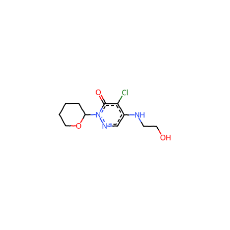 O=c1c(Cl)c(NCCO)cnn1C1CCCCO1